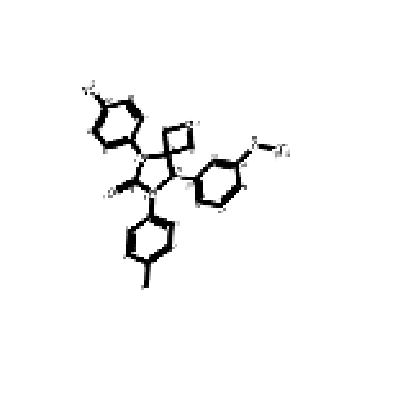 Cc1ccc(N2C(=O)N(c3ccc(C#N)cc3)C3(COC3)[C@H]2c2cccc(OC(F)(F)F)c2)cc1